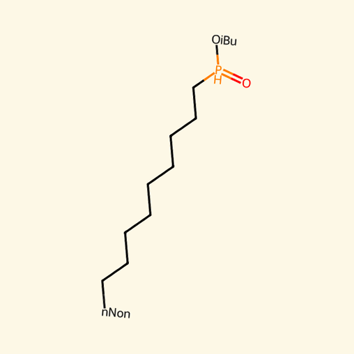 CCCCCCCCCCCCCCCCCC[PH](=O)OCC(C)C